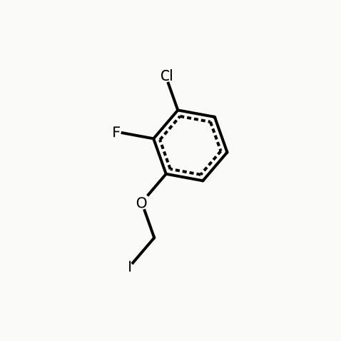 Fc1c(Cl)cccc1OCI